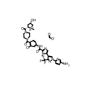 Cn1c(-c2cn(-c3ccc(N)cn3)nc2C(F)(F)F)cnc1C(=O)Nc1ccc(C(=O)N2CCN(C(=O)[C@@H]3C[C@@H](O)C[N+]3(C)C)CC2)c(Cl)c1.O=C[O-]